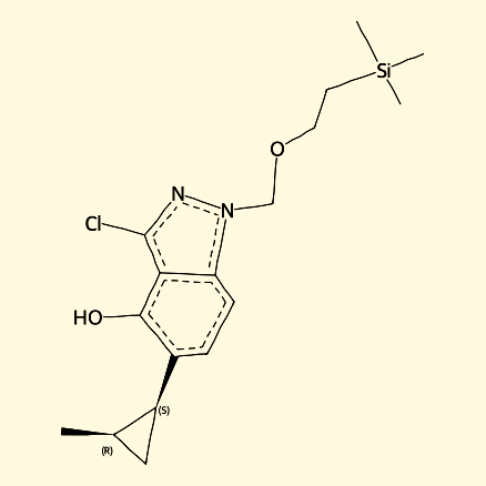 C[C@@H]1C[C@@H]1c1ccc2c(c(Cl)nn2COCC[Si](C)(C)C)c1O